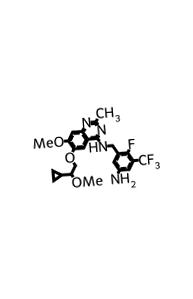 COc1cc2nc(C)nc(NCc3cc(N)cc(C(F)(F)F)c3F)c2cc1OCC(OC)C1CC1